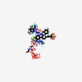 CCCN(CCOC(=O)N(c1nn(CC(F)(F)F)c2c(-c3ccc(C#CC(C)(C)S(C)(=O)=O)nc3[C@H](Cc3cc(F)cc(F)c3)NC(=O)Cn3nc(C(F)(F)F)c4c3C(F)(F)[C@@H]3C[C@H]43)ccc(Cl)c12)S(C)(=O)=O)C(=O)OCOP(=O)(O)O